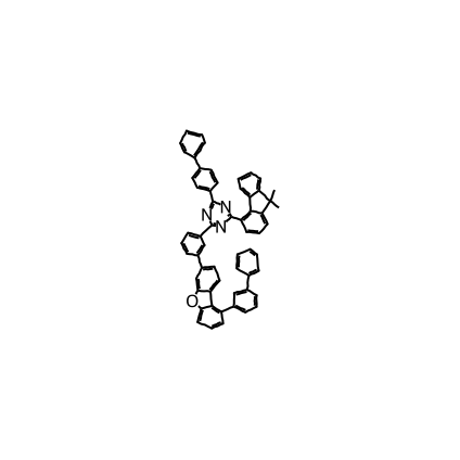 CC1(C)c2ccccc2-c2c(-c3nc(-c4ccc(-c5ccccc5)cc4)nc(-c4cccc(-c5ccc6c(c5)oc5cccc(-c7cccc(-c8ccccc8)c7)c56)c4)n3)cccc21